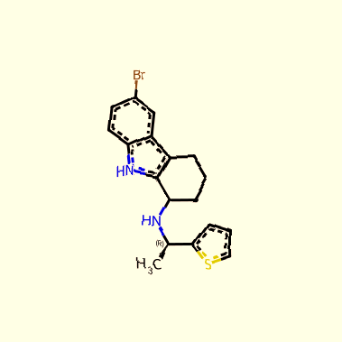 C[C@@H](NC1CCCc2c1[nH]c1ccc(Br)cc21)c1cccs1